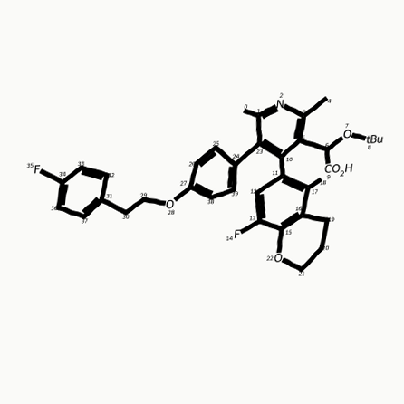 Cc1nc(C)c(C(OC(C)(C)C)C(=O)O)c(-c2cc(F)c3c(c2C)CCCO3)c1-c1ccc(OCCc2ccc(F)cc2)cc1